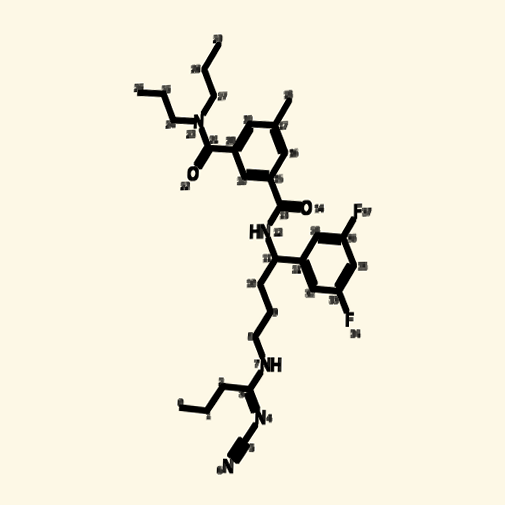 CCC/C(=N\C#N)NCCCC(NC(=O)c1cc(C)cc(C(=O)N(CCC)CCC)c1)c1cc(F)cc(F)c1